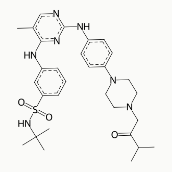 Cc1cnc(Nc2ccc(N3CCN(CC(=O)C(C)C)CC3)cc2)nc1Nc1cccc(S(=O)(=O)NC(C)(C)C)c1